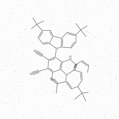 C=C(/C=C\C)Nc1c(N2C(=C)C=CC(C(C)(C)C)C=C2C(=C)C)c(N)c(C#N)c(C#N)c1-n1c2ccc(C(C)(C)C)cc2c2cc(C(C)(C)C)ccc21